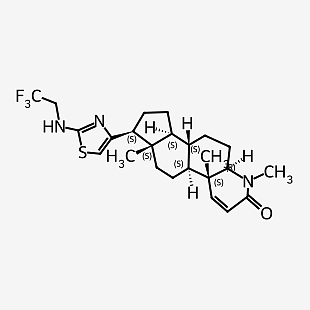 CN1C(=O)C=C[C@]2(C)[C@H]3CC[C@]4(C)[C@@H](c5csc(NCC(F)(F)F)n5)CC[C@H]4[C@@H]3CC[C@@H]12